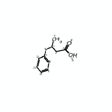 C[C](CC(=O)O)Cc1ccccc1